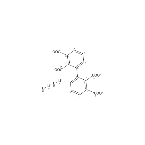 O=C([O-])c1cccc(-c2cccc(C(=O)[O-])c2C(=O)[O-])c1C(=O)[O-].[Li+].[Li+].[Li+].[Li+]